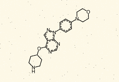 c1nc(OC2CCNCC2)c2cnn(-c3ccc(N4CCOCC4)cc3)c2n1